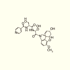 COc1ccc2c3c1O[C@H]1C[C@@H](O)C=C[C@@]31CCN(C(=O)[C@@H](NC(=O)[C@H](CO)NC(=O)c1ccncc1)OO)C2